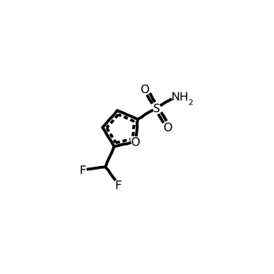 NS(=O)(=O)c1ccc(C(F)F)o1